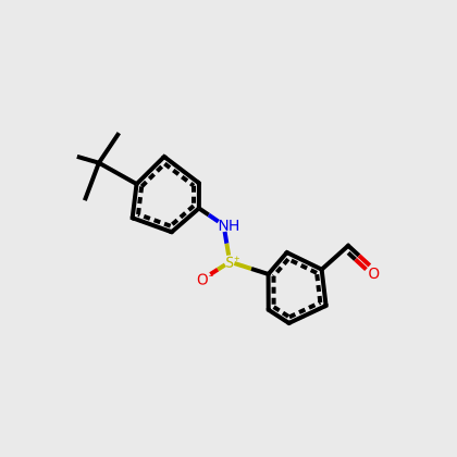 CC(C)(C)c1ccc(N[S+]([O-])c2cccc(C=O)c2)cc1